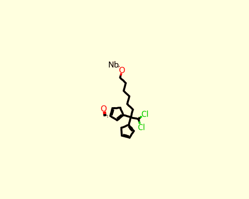 Cl[C](Cl)C(CCCCCC[O][Nb])(C1=CC=CC1)C1=CC=CC1.[C]=O